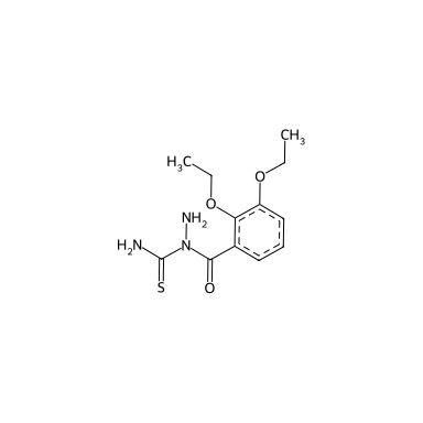 CCOc1cccc(C(=O)N(N)C(N)=S)c1OCC